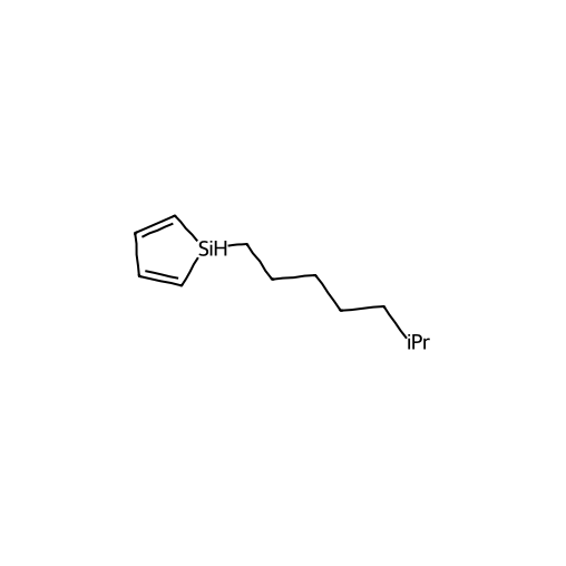 CC(C)CCCCC[SiH]1C=CC=C1